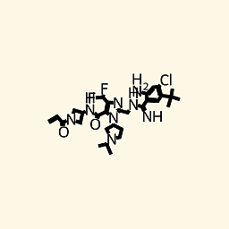 C=CC(=O)N1CC(NC(=O)c2c(C(F)F)nc(CNC(=N)c3cc(C(C)(C)C)c(Cl)cc3N)n2C2CCN(C(C)C)C2)C1